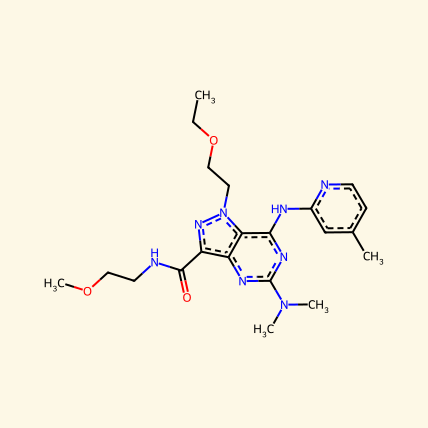 CCOCCn1nc(C(=O)NCCOC)c2nc(N(C)C)nc(Nc3cc(C)ccn3)c21